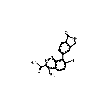 CCc1ccc2c(N)c(C(N)=O)nnc2c1-c1ccc2c(c1)CNC2=O